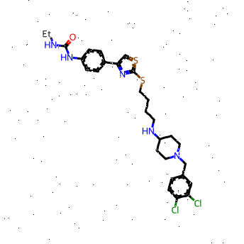 CCNC(=O)Nc1ccc(-c2csc(SCCCCNC3CCN(Cc4ccc(Cl)c(Cl)c4)CC3)n2)cc1